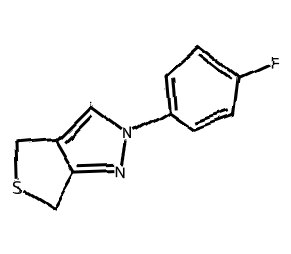 Fc1ccc(-n2[c]c3c(n2)CSC3)cc1